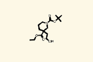 CCOC(=O)C1(CCO)CCCN(C(=O)OC(C)(C)C)C1